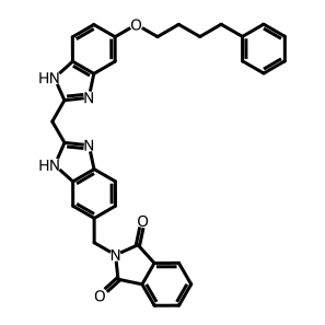 O=C1c2ccccc2C(=O)N1Cc1ccc2nc(Cc3nc4cc(OCCCCc5ccccc5)ccc4[nH]3)[nH]c2c1